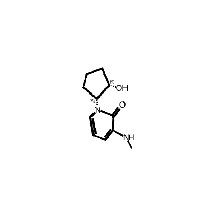 CNc1cccn([C@@H]2CCC[C@@H]2O)c1=O